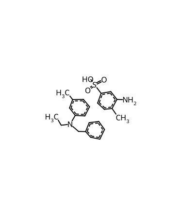 CCN(Cc1ccccc1)c1cccc(C)c1.Cc1ccc(S(=O)(=O)O)cc1N